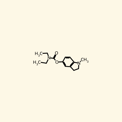 CCN(CC)C(=O)Oc1ccc2c(c1)CCN2C